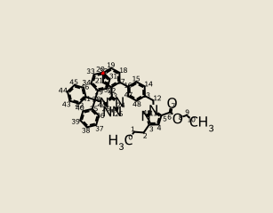 CCCc1cc(C(=O)OCC)n(Cc2ccc(-c3ccccc3-c3nnnn3C(c3ccccc3)(c3ccccc3)c3ccccc3)cc2)n1